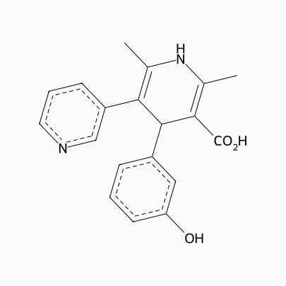 CC1=C(C(=O)O)C(c2cccc(O)c2)C(c2cccnc2)=C(C)N1